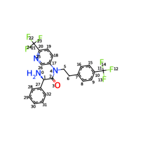 N[C@@H](C(=O)N(CCc1ccc(C(F)(F)F)cc1)c1ccc(C(F)(F)F)nc1)c1ccccc1